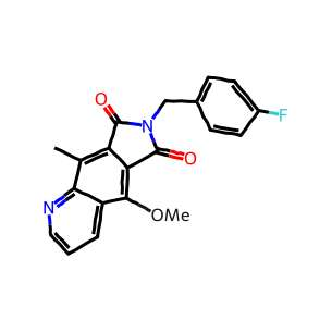 COc1c2c(c(C)c3ncccc13)C(=O)N(Cc1ccc(F)cc1)C2=O